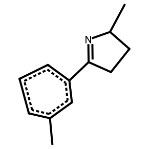 Cc1cccc(C2=NC(C)CC2)c1